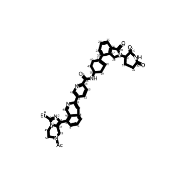 CCc1nc(-c2cccc3cc(-c4ccc(C(=O)NC5CC=C(c6cccc7c6CN(C6CCC(=O)NC6=O)C7=O)CC5)nc4)ncc23)c2n1CCN(C(C)=O)C2